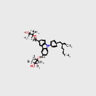 CCCCC(CC)Cc1ccc(-n2c3ccc(BOC(C)(C)C(C)(C)O)cc3c3cc(BOC(C)(C)C(C)(C)O)ccc32)cc1